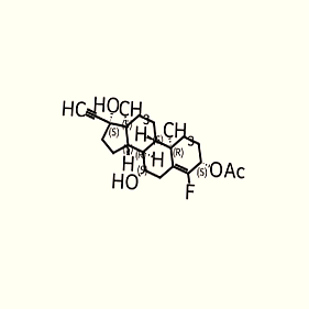 C#C[C@]1(O)CC[C@H]2[C@@H]3[C@@H](O)CC4=C(F)[C@@H](OC(C)=O)CC[C@]4(C)[C@H]3CC[C@@]21C